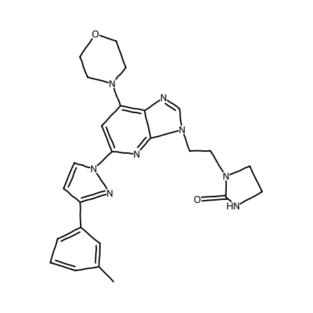 Cc1cccc(-c2ccn(-c3cc(N4CCOCC4)c4ncn(CCN5CCNC5=O)c4n3)n2)c1